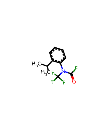 CC(C)c1ccccc1N(C(=O)F)C(F)(F)F